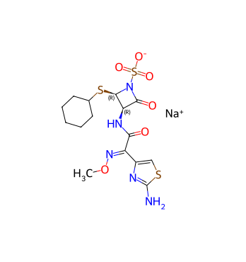 CON=C(C(=O)N[C@@H]1C(=O)N(S(=O)(=O)[O-])[C@@H]1SC1CCCCC1)c1csc(N)n1.[Na+]